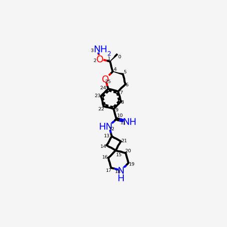 C[C@H](ON)[C@H]1CCc2cc(C(=N)NC3CC4(CCNCC4)C3)ccc2O1